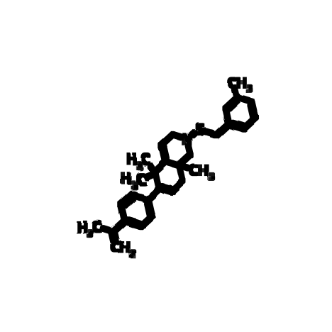 C=C(C)c1ccc(C2=CCC3(C)CN(SCc4cccc(C)c4)CC=C3C2(C)C)cc1